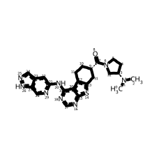 CN(C)[C@H]1CCN(C(=O)[C@H]2CCc3c(sc4ncnc(Nc5cc6cn[nH]c6cn5)c34)C2)C1